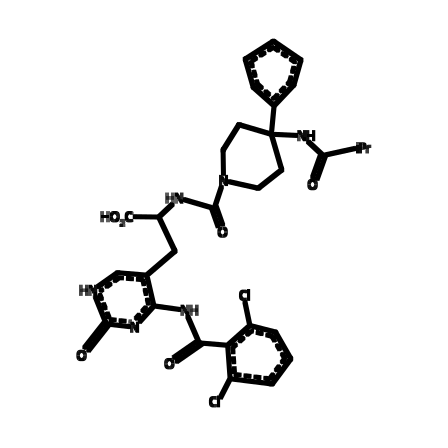 CC(C)C(=O)NC1(c2ccccc2)CCN(C(=O)NC(Cc2c[nH]c(=O)nc2NC(=O)c2c(Cl)cccc2Cl)C(=O)O)CC1